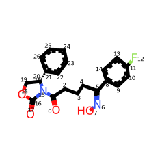 O=C(CCCC(=NO)c1ccc(F)cc1)N1C(=O)OC[C@@H]1c1ccccc1